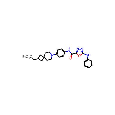 CCOC(=O)CC1CC2(CCN(c3ccc(NC(=O)c4nnc(Nc5ccccc5)o4)cc3)CC2)C1